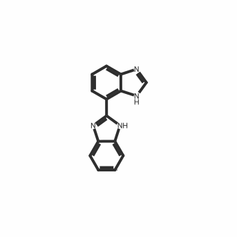 [c]1ccc2nc(-c3cccc4nc[nH]c34)[nH]c2c1